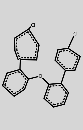 Clc1ccc(-c2ccccc2Oc2ccccc2-c2ccc(Cl)cc2)cc1